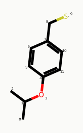 CC(C)Oc1ccc(C[S])cc1